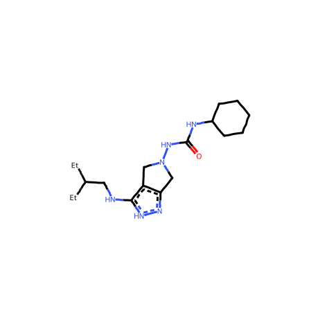 CCC(CC)CNc1[nH]nc2c1CN(NC(=O)NC1CCCCC1)C2